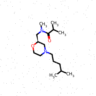 CC(C)CCCN1CCO[C@@H](CN(C)C(=O)C(C)C)C1